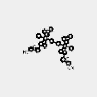 N#Cc1ccc2oc3c(-c4ccc5c6c(-c7ccccc7)c7cc8c9ccccc9c9cccc(c7c(-c7ccc(-c%10ccc(-c%11c%12cc%13c%14ccccc%14c%14cccc(c%12c(-c%12ccccc%12)c%12c%15ccc(-c%16cccc%17c%16oc%16ccc(C#N)cc%16%17)c%16cccc(c%11%12)c%16%15)c%14%13)cc%10)cc7)c6c6cccc4c56)c98)cccc3c2c1